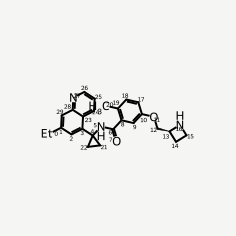 CCc1cc(C2(NC(=O)c3cc(OC[C@@H]4CCN4)ccc3C)CC2)c2cccnc2c1